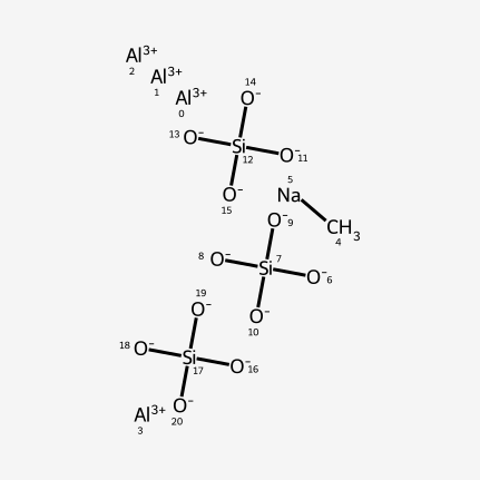 [Al+3].[Al+3].[Al+3].[Al+3].[CH3][Na].[O-][Si]([O-])([O-])[O-].[O-][Si]([O-])([O-])[O-].[O-][Si]([O-])([O-])[O-]